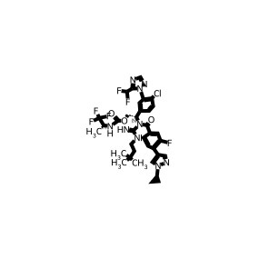 C[C@H](NC(=O)OC[C@H](c1ccc(Cl)c(-n2ncnc2C(F)F)c1)N(C(=N)NCCC(C)(C)C)C(=O)c1ccc(-c2cnn(C3CC3)c2)c(F)c1)C(F)(F)F